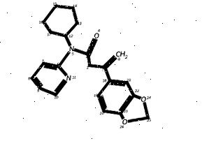 C=C(CC(=O)N(c1ccccn1)C1CCCCC1)c1ccc2c(c1)OCO2